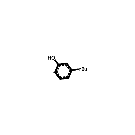 CCCCc1cc[c]c(O)c1